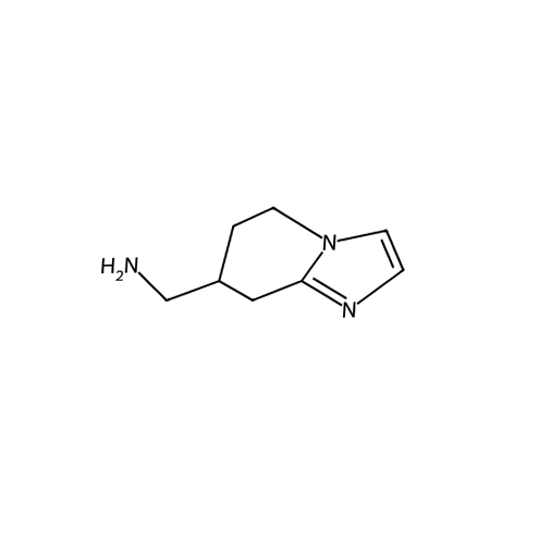 NCC1CCn2ccnc2C1